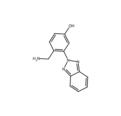 NCc1c[c]c(O)cc1-n1nc2ccccc2n1